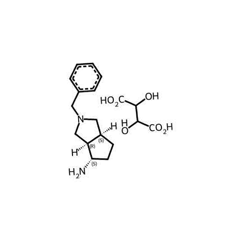 N[C@H]1CC[C@@H]2CN(Cc3ccccc3)C[C@@H]21.O=C(O)C(O)C(O)C(=O)O